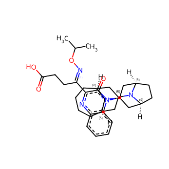 CC(C)O/N=C(\CCC(=O)O)c1nc2ccccc2n([C@H]2C[C@H]3CC[C@@H](C2)N3C2C[C@H]3CCCC[C@@H](C2)C3)c1=O